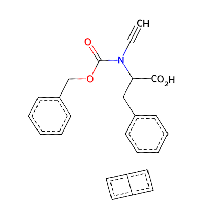 C#CN(C(=O)OCc1ccccc1)C(Cc1ccccc1)C(=O)O.c1cc2ccc1-2